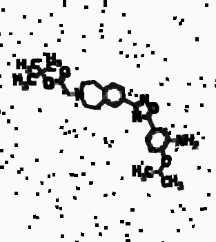 CC(C)Oc1ccc(-c2nc(-c3ccc4c(c3)CCN(CC(=O)OC(C)(C)C)CC4)no2)cc1N